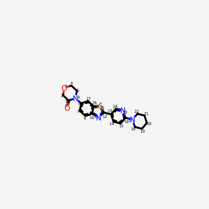 O=C1COCCN1c1ccc2nc(-c3ccc(N4CCCCC4)nc3)sc2c1